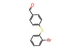 O=Cc1ccc(Sc2ccccc2Br)cc1